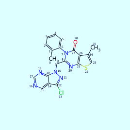 Cc1ccccc1-n1c(Cn2nc(Cl)c3cncnc32)nc2scc(C)c2c1=O